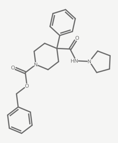 O=C(OCc1ccccc1)N1CCC(C(=O)NN2CCCC2)(c2ccccc2)CC1